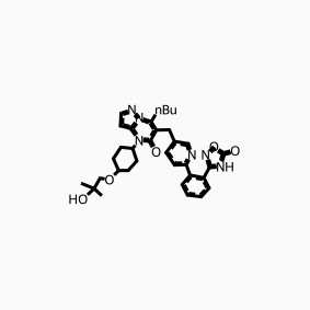 CCCCc1c(Cc2ccc(-c3ccccc3-c3noc(=O)[nH]3)nc2)c(=O)n(C2CCC(OCC(C)(C)O)CC2)c2ccnn12